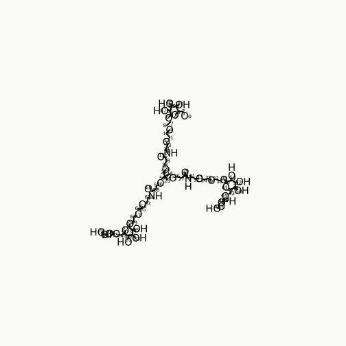 COCC1OC(OCCOCCOCCNC(=O)CCOCC(C)(COCCC(=O)NCCOCCOCCOC2OC(COPOOO)C(O)C(O)C2O)COCCC(=O)NCCOCCOCCOC2OC(COPOOO)C(O)C(O)C2O)C(O)C(O)C1O